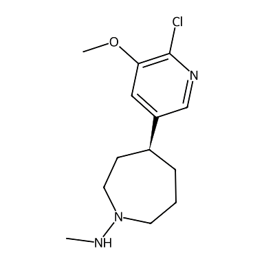 CNN1CCC[C@H](c2cnc(Cl)c(OC)c2)CC1